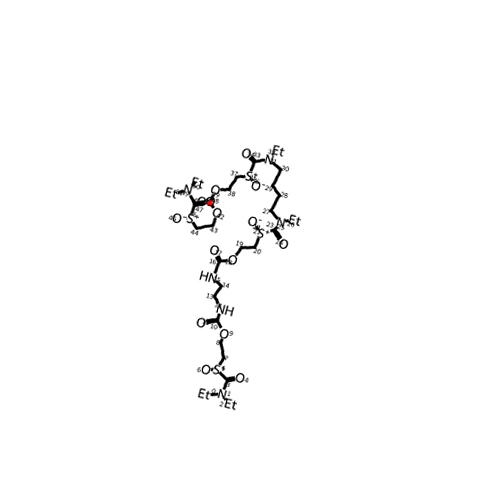 CCN(CC)C(=O)[S+]([O-])CCOC(=O)NCCNC(=O)OCC[S+]([O-])C(=O)N(CC)CCCCN(CC)C(=O)[S+]([O-])CCOC(=O)OCC[S+]([O-])C(=O)N(CC)CC